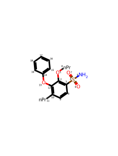 CCCOc1c(S(N)(=O)=O)ccc(CCC)c1Oc1ccccc1